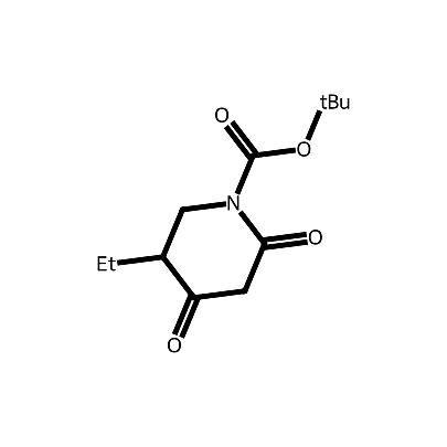 CCC1CN(C(=O)OC(C)(C)C)C(=O)CC1=O